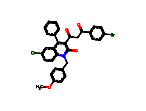 COc1ccc(Cn2c(=O)c(C(=O)CC(=O)c3ccc(Br)cc3)c(-c3ccccc3)c3cc(Cl)ccc32)cc1